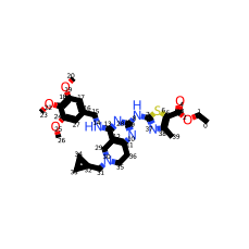 CCOC(=O)c1sc(Nc2nc3c(c(NCc4cc(OC)c(OC)c(OC)c4)n2)CN(CC2CC2)CC3)nc1C